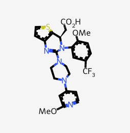 COc1cc(N2CCN(C3=Nc4ccsc4[C@@H](CC(=O)O)N3c3cc(C(F)(F)F)ccc3OC)CC2)ccn1